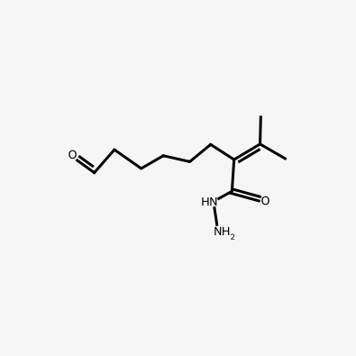 CC(C)=C(CCCCCC=O)C(=O)NN